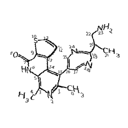 Cc1nc(C)c2[nH]c(=O)c3sccc3c2c1-c1cnc(C(C)CN)nc1